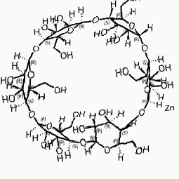 OC[C@H]1O[C@@H]2O[C@H]3[C@H](O)[C@@H](O)[C@@H](O[C@H]4[C@H](O)[C@@H](O)[C@@H](O[C@H]5[C@H](O)[C@@H](O)[C@@H](O[C@H]6[C@H](O)[C@@H](O)[C@@H](O[C@H]7[C@H](O)[C@@H](O)[C@@H](O[C@H]1[C@H](O)[C@H]2O)O[C@@H]7CO)O[C@@H]6CO)O[C@@H]5CO)O[C@@H]4CO)O[C@@H]3CO.[Zn]